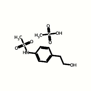 CS(=O)(=O)Nc1ccc(CCO)cc1.CS(=O)(=O)O